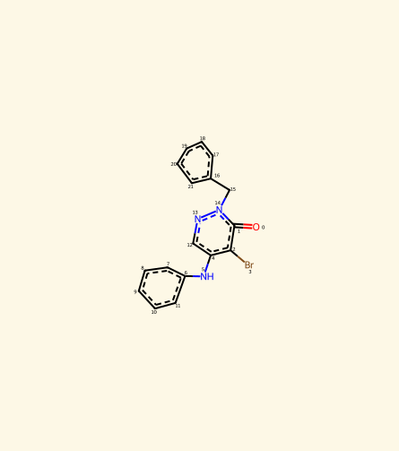 O=c1c(Br)c(Nc2ccccc2)cnn1Cc1ccccc1